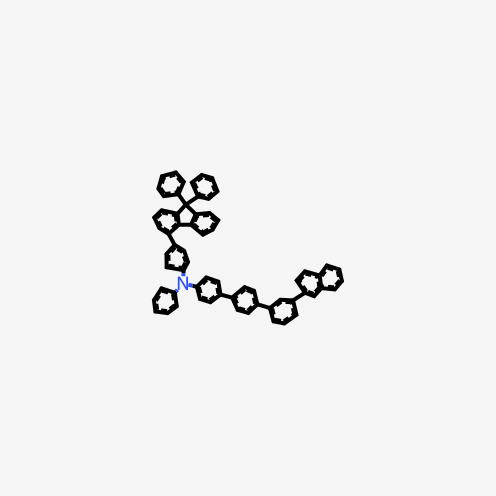 c1ccc(N(c2ccc(-c3ccc(-c4cccc(-c5ccc6ccccc6c5)c4)cc3)cc2)c2ccc(-c3cccc4c3-c3ccccc3C4(c3ccccc3)c3ccccc3)cc2)cc1